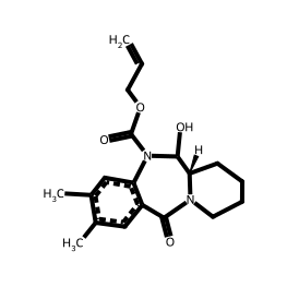 C=CCOC(=O)N1c2cc(C)c(C)cc2C(=O)N2CCCC[C@H]2C1O